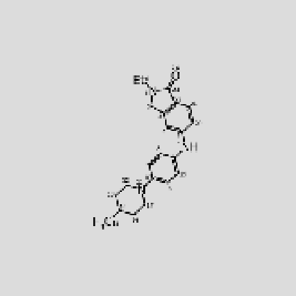 CCN1Cc2cc(Nc3ccc(N4CCC(C(F)(F)F)CC4)cc3)ccc2C1=O